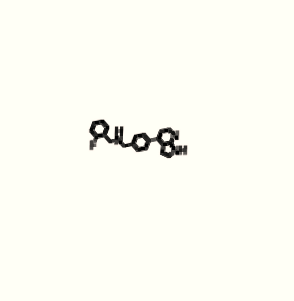 Fc1ccccc1CNCc1ccc(-c2ccnc3[nH]ccc23)cc1